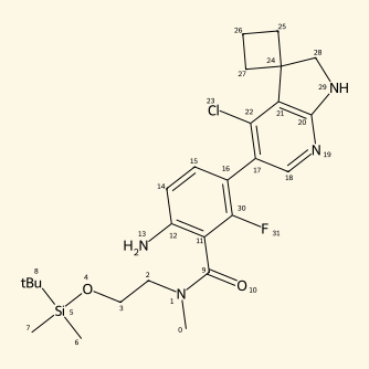 CN(CCO[Si](C)(C)C(C)(C)C)C(=O)c1c(N)ccc(-c2cnc3c(c2Cl)C2(CCC2)CN3)c1F